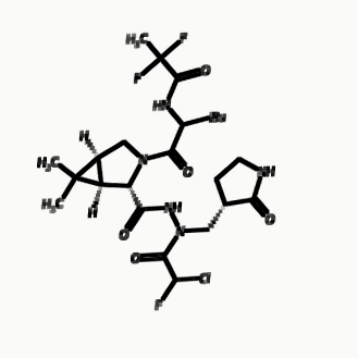 CCC(C)C(NC(=O)C(C)(F)F)C(=O)N1C[C@H]2[C@@H]([C@H]1C(=O)NN(C[C@@H]1CCNC1=O)C(=O)C(F)Cl)C2(C)C